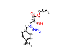 Bc1ccc(CN(N)C[C@@H](O)C(=O)OCC)cc1